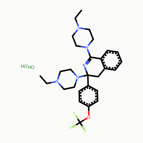 CCN1CCN(C2=NC(c3ccc(OC(F)(F)F)cc3)(N3CCN(CC)CC3)Cc3ccccc32)CC1.Cl.Cl